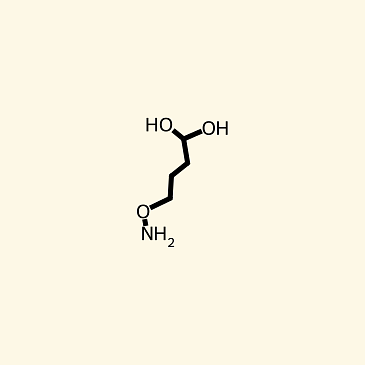 NOCCCC(O)O